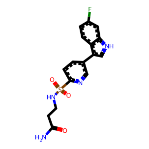 NC(=O)CCNS(=O)(=O)c1ccc(-c2c[nH]c3cc(F)ccc23)cn1